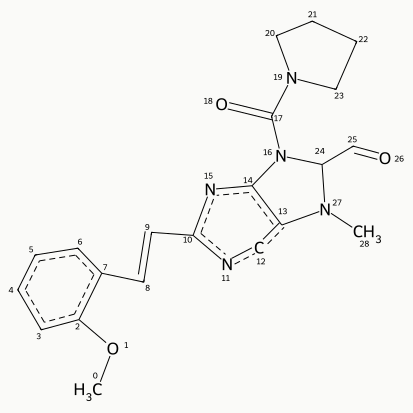 COc1ccccc1/C=C/c1ncc2c(n1)N(C(=O)N1CCCC1)C(C=O)N2C